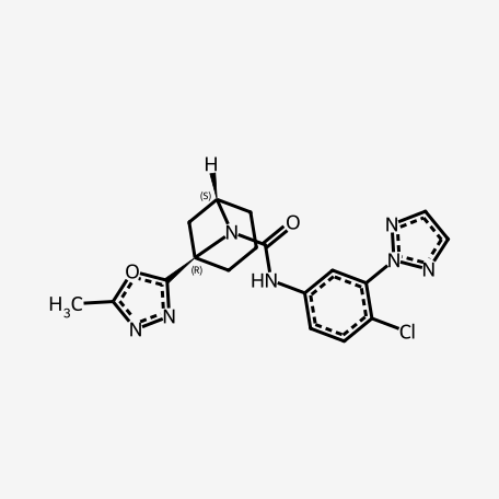 Cc1nnc([C@@]23CCC[C@@H](C2)N3C(=O)Nc2ccc(Cl)c(-n3nccn3)c2)o1